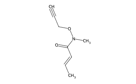 C#CCON(C)C(=O)C=CC